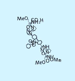 COCC[C@H](NC(=O)OC)C(=O)N1CCC[C@H]1c1ncc(-c2ccc3c4ccc(-n5ccnc5[C@@H]5CCCN5C(=O)[C@H](CCOC)NC(=O)O)cc4n(S(=O)(=O)c4ccccc4)c3c2)[nH]1